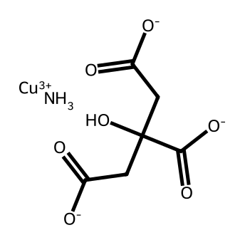 N.O=C([O-])CC(O)(CC(=O)[O-])C(=O)[O-].[Cu+3]